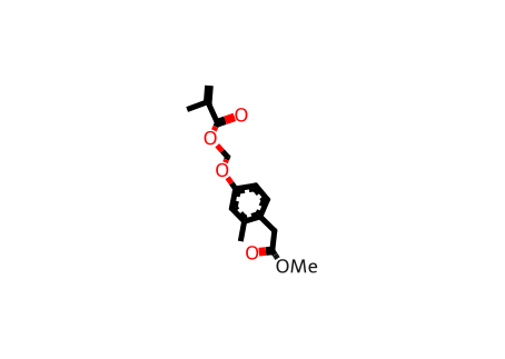 C=C(C)C(=O)OCOc1ccc(CC(=O)OC)c(C)c1